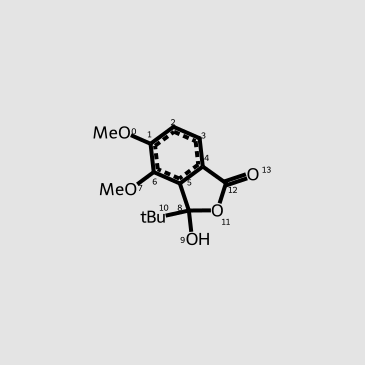 COc1ccc2c(c1OC)C(O)(C(C)(C)C)OC2=O